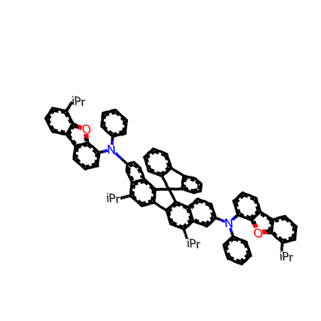 CC(C)c1cc2c(c3ccc(N(c4ccccc4)c4cccc5c4oc4c(C(C)C)cccc45)cc13)C1(c3ccccc3-c3ccccc31)c1c-2cc(C(C)C)c2cc(N(c3ccccc3)c3cccc4c3oc3c(C(C)C)cccc34)ccc12